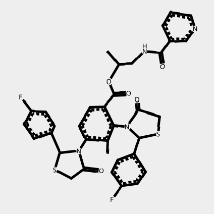 Cc1c(N2C(=O)CSC2c2ccc(F)cc2)ccc(C(=O)OC(C)CNC(=O)c2cccnc2)c1N1C(=O)CSC1c1ccc(F)cc1